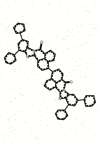 O=c1c2ccc(-c3ccc4c5c3cccc5c(=O)n3c5cc(-c6ccccc6)cc(-c6ccccc6)c5nc43)c3cccc(c32)c2nc3c(-c4ccccc4)cc(-c4ccccc4)cc3n12